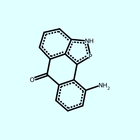 Nc1cccc2c1-c1p[nH]c3cccc(c13)C2=O